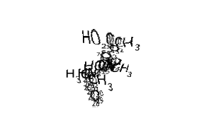 Cc1ccc(-c2cccc(S(=O)(=O)N(C)CC(O)CNC(C)(C)CC3Cc4ccccc4C3)c2)cc1C(=O)O